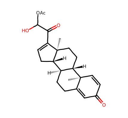 CC(=O)OC(O)C(=O)C1=CC[C@H]2[C@@H]3CCC4=CC(=O)C=C[C@]4(C)[C@H]3CC[C@]12C